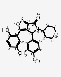 Cc1ccc(O)c(-c2onc3c2C(c2ccc(C(F)(F)F)cc2)N(C2CCOCC2)C3=O)c1